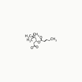 CCC=CC(=O)OC(CC(=O)[O-])C[N+](C)(C)C